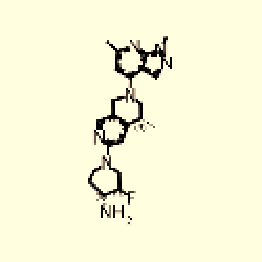 Cc1cc(N2Cc3cnc(N4CC[C@@H](N)[C@H](F)C4)cc3[C@@H](C)C2)c2cnn(C)c2n1